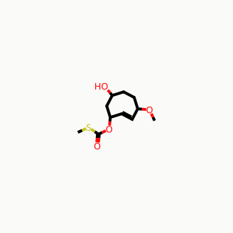 COC1/C=C/C(OC(=O)SC)CC(O)CC1